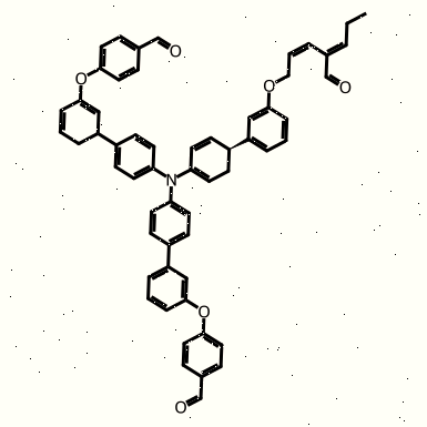 CC/C=C(C=O)\C=C/COc1cccc([C@@H]2C=CC(N(c3ccc(-c4cccc(Oc5ccc(C=O)cc5)c4)cc3)c3ccc(C4C=C(Oc5ccc(C=O)cc5)C=CC4)cc3)=CC2)c1